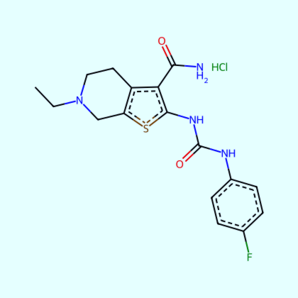 CCN1CCc2c(sc(NC(=O)Nc3ccc(F)cc3)c2C(N)=O)C1.Cl